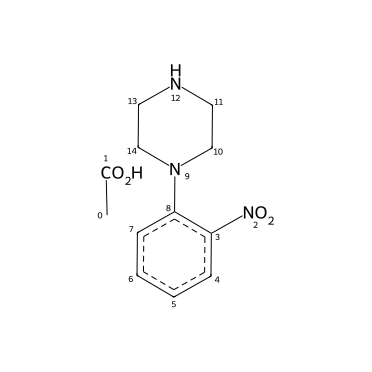 CC(=O)O.O=[N+]([O-])c1ccccc1N1CCNCC1